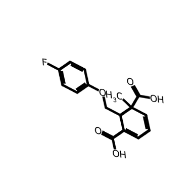 CC1(C(=O)O)C=CC=C(C(=O)O)C1COc1ccc(F)cc1